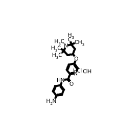 CN1C(C)(C)CC(Oc2ccc(C(=O)Nc3ccc(N)cc3)nc2)CC1(C)C.Cl.Cl